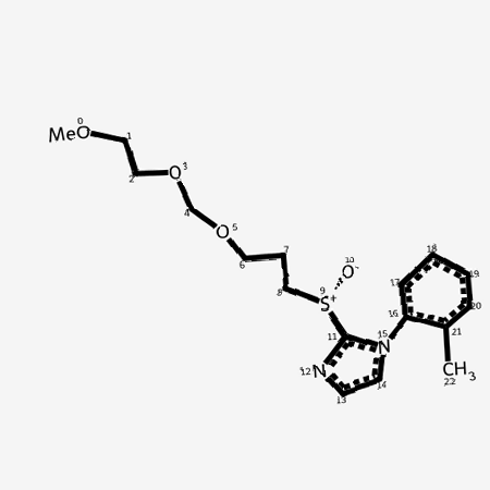 COCCOCOCCC[S@+]([O-])c1nccn1-c1ccccc1C